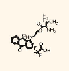 CC(C)[C@H](N)C(=O)OCCNc1cccc2c1C(=O)c1ccccc1C2=O.O=C(O)C(F)(F)F